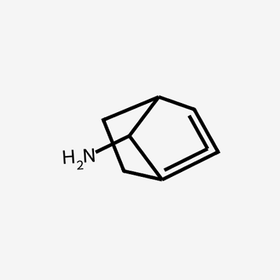 NC1C2=C=CC1CC2